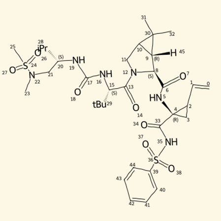 C=CC1C[C@]1(NC(=O)[C@@H]1[C@@H]2C(CN1C(=O)[C@@H](NC(=O)N[C@H](CN(C)S(C)(=O)=O)C(C)C)C(C)(C)C)C2(C)C)C(=O)NS(=O)(=O)c1ccccc1